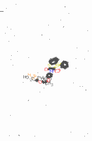 CC(C)(CCOC(C)(P)CC(=O)O)Oc1ccc(N2C(=O)C(Sc3ccccc3)=C(Sc3ccccc3)C2=O)cc1